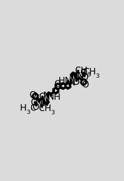 CC[C@H]1CC[C@@H](c2ncc(-c3ccc4c(c3)COc3cc5c(ccc6nc([C@@H]7CC[C@H](CC)N7C(=O)[C@@H](NC(=O)OC)C7CCOCC7)[nH]c65)cc3-4)[nH]2)N1C(=O)C(NC(=O)OC)C1CCOCC1